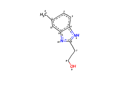 Cc1ccc2[nH]c(CCO)nc2c1